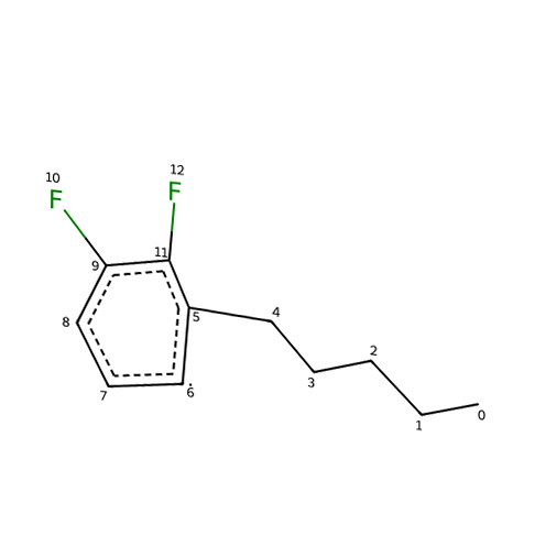 CCCCCc1[c]ccc(F)c1F